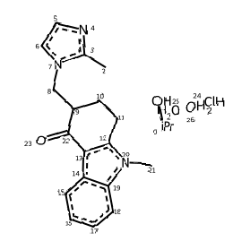 CC(C)O.Cc1nccn1CC1CCc2c(c3ccccc3n2C)C1=O.Cl.O.O